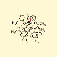 CC[C@@H]1O[C@H](OP(=O)(Oc2ccccc2)Oc2ccccc2)[C@@H](O[C@H]2O[C@H](COC(C)=O)[C@@H](OC(C)=O)[C@H](OC(N)=O)[C@@H]2OC(C)=O)[C@@H](OC(C)=O)[C@@H]1C